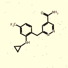 NC(=O)c1cnnc(Cc2ccc(C(F)(F)F)cc2NC2CC2)c1